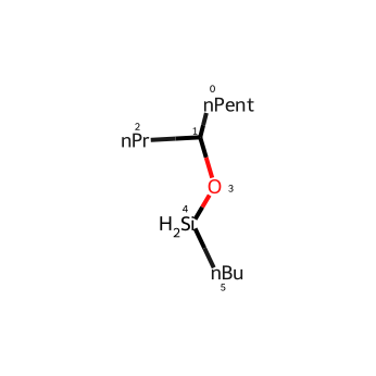 CCCCCC(CCC)O[SiH2]CCCC